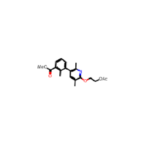 COC(=O)c1cccc(-c2cc(C)c(OCCOC(C)=O)nc2C)c1C